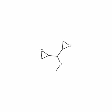 COC(C1CO1)C1CO1